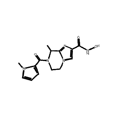 CC1c2nc(C(=O)NO)cn2CCN1C(=O)c1cccn1C